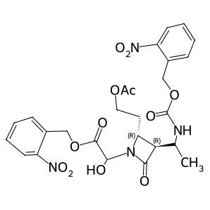 CC(=O)OCC[C@@H]1[C@@H](C(C)NC(=O)OCc2ccccc2[N+](=O)[O-])C(=O)N1C(O)C(=O)OCc1ccccc1[N+](=O)[O-]